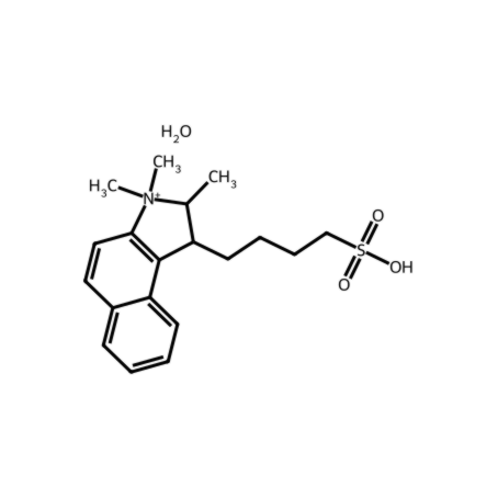 CC1C(CCCCS(=O)(=O)O)c2c(ccc3ccccc23)[N+]1(C)C.O